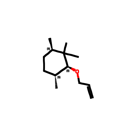 C=CCO[C@H]1[C@H](C)CC[C@@H](C)C1(C)C